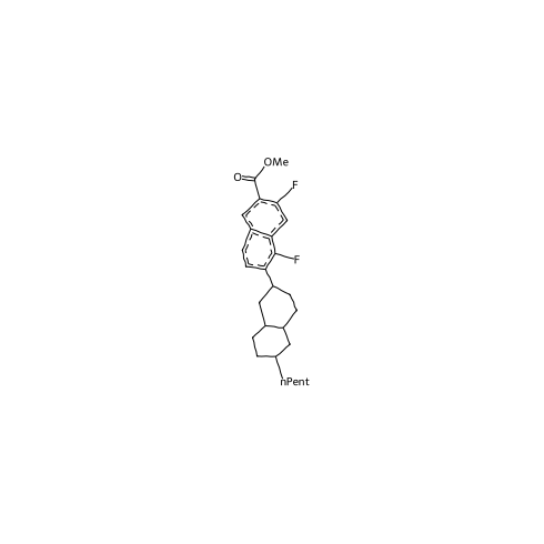 CCCCCC1CCC2CC(c3ccc4cc(C(=O)OC)c(F)cc4c3F)CCC2C1